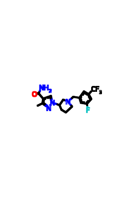 Cc1nn(C2CCCN(Cc3cc(F)cc(C(F)(F)F)c3)C2)cc1C(N)=O